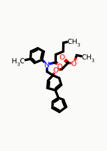 CCCCC(=O)N(CC1(OCC(=O)OCC)C=CC(c2ccccc2)=CC1)c1cccc(C)c1